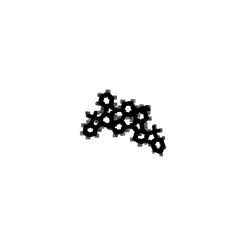 CC1(C)c2ccccc2-c2ccc3c(c21)c1ccccc1n3-c1ccncc1-c1cc(C#N)ccc1-n1c2ccccc2c2c3c(ccc21)-c1ccccc1C3(C)C